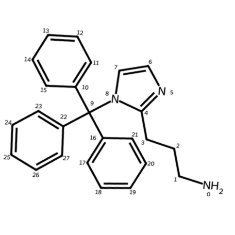 NCCCc1nccn1C(c1ccccc1)(c1ccccc1)c1ccccc1